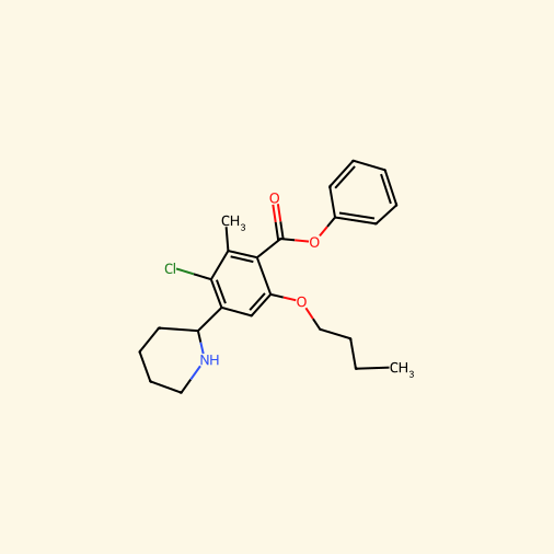 CCCCOc1cc(C2CCCCN2)c(Cl)c(C)c1C(=O)Oc1ccccc1